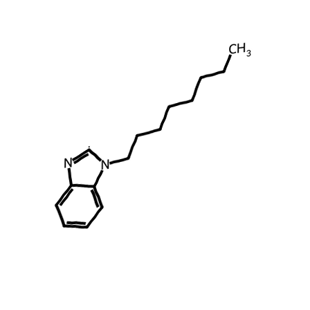 CCCCCCCCn1[c]nc2ccccc21